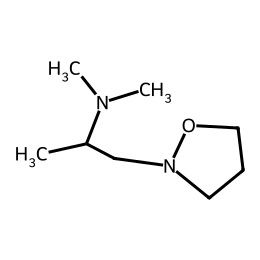 CC(CN1CCCO1)N(C)C